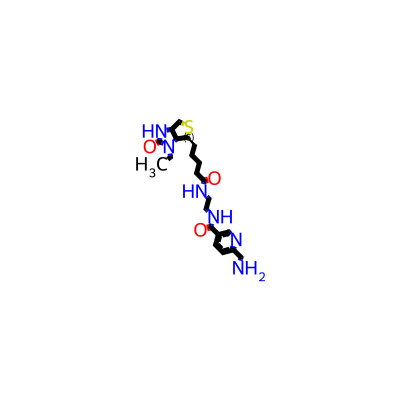 CCN1C(=O)NC2CS[C@@H](CCCCC(=O)NCCNC(=O)c3ccc(CN)nc3)C21